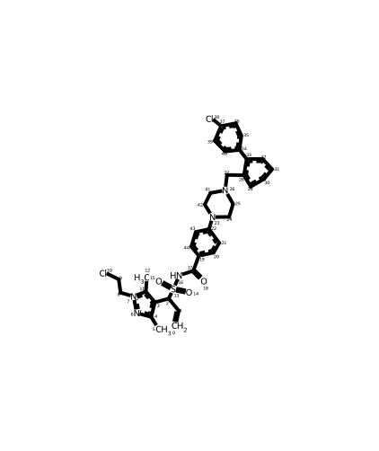 C=CC(c1c(C)nn(CCCl)c1C)S(=O)(=O)NC(=O)c1ccc(N2CCN(Cc3ccccc3-c3ccc(Cl)cc3)CC2)cc1